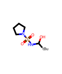 CC(C)(C)C(O)NS(=O)(=O)N1CCCC1